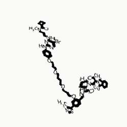 Cc1ncsc1-c1ccc(CNC(=O)[C@@H]2CCCN2C(=O)C(C(C)C)N2Cc3ccccc3C2=O)c(OCCCOCCCCOCCCOc2ccc(Nc3ncc(Br)c(NCCCN(C)C(=O)C4CCC4)n3)cc2)c1